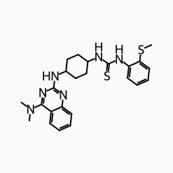 CSc1ccccc1NC(=S)NC1CCC(Nc2nc(N(C)C)c3ccccc3n2)CC1